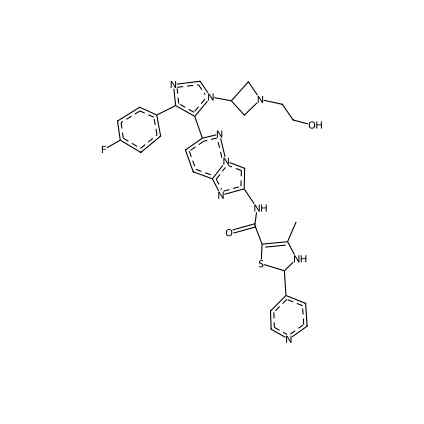 CC1=C(C(=O)Nc2cn3nc(-c4c(-c5ccc(F)cc5)ncn4C4CN(CCO)C4)ccc3n2)SC(c2ccncc2)N1